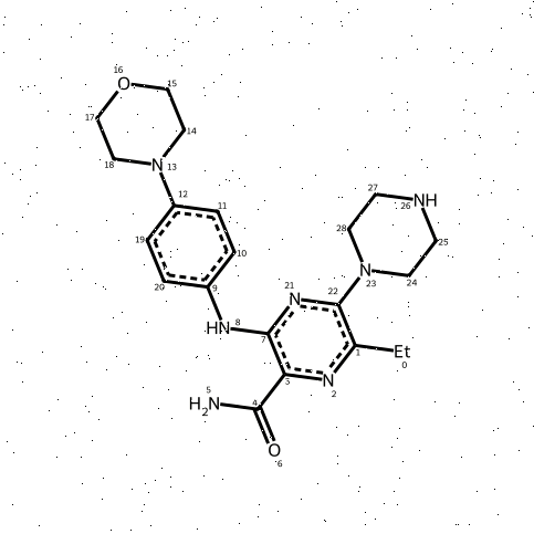 CCc1nc(C(N)=O)c(Nc2ccc(N3CCOCC3)cc2)nc1N1CCNCC1